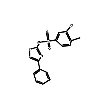 Cc1ccc(S(=O)(=O)Nc2nc(-c3ccccc3)ns2)cc1Cl